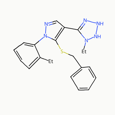 CCc1ccccc1-n1ncc(C2=NNNN2CC)c1SCc1ccccc1